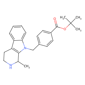 CC1NCCc2c1n(Cc1ccc(C(=O)OC(C)(C)C)cc1)c1ccccc21